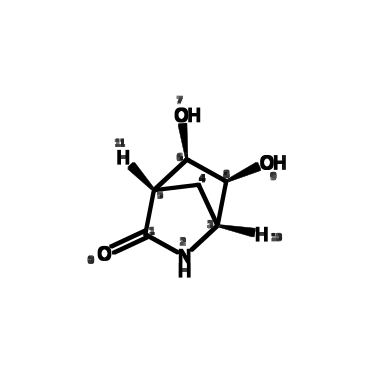 O=C1N[C@@H]2C[C@H]1[C@@H](O)[C@H]2O